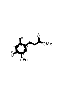 COC(=O)CCc1cc(C(C)(C)C)c(O)cc1C